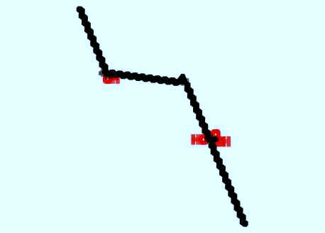 CCCCCCCCCCCCCCCCCCCCCCCC[C@@H](C(=O)O)[C@H](O)CCCCCCCCCCCCCCC[C@@H]1CC1CCCCCCCCCCCCCCCCCC[C@H](O)[C@H](C)CCCCCCCCCCCCCCCCCC